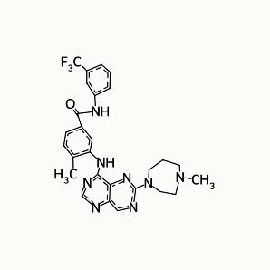 Cc1ccc(C(=O)Nc2cccc(C(F)(F)F)c2)cc1Nc1ncnc2cnc(N3CCCN(C)CC3)nc12